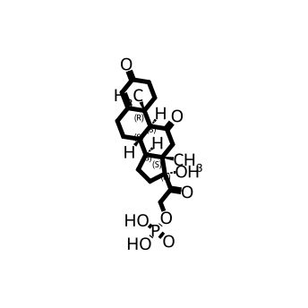 C[C@]12CCC(=O)C=C1CC[C@@H]1[C@@H]2C(=O)C[C@@]2(C)[C@H]1CC[C@]2(O)C(=O)COP(=O)(O)O